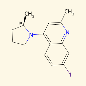 Cc1cc(N2CCC[C@H]2C)c2ccc(I)cc2n1